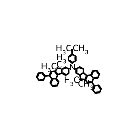 CC(C)c1ccc(N(C2=CC3C(C=C2)c2c(cc(-c4ccccc4)c4ccccc24)C3(C)C)c2ccc3c(c2)C(C)(C)c2cc(-c4ccccc4)c4ccccc4c2-3)cc1